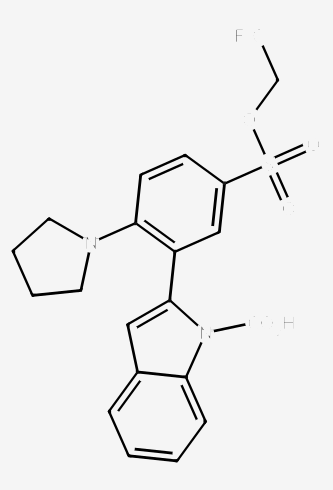 O=C(O)n1c(-c2cc(S(=O)(=O)OCC(F)(F)F)ccc2N2CCCC2)cc2ccccc21